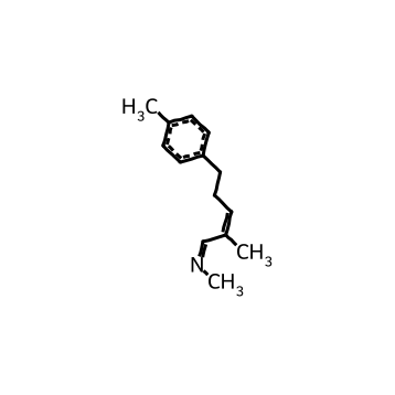 C/N=C\C(C)=C/CCc1ccc(C)cc1